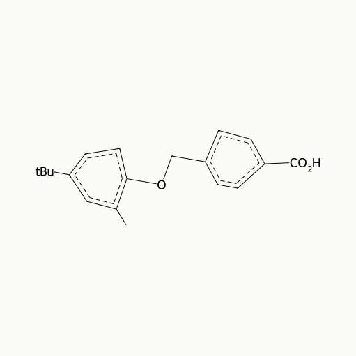 Cc1cc(C(C)(C)C)ccc1OCc1ccc(C(=O)O)cc1